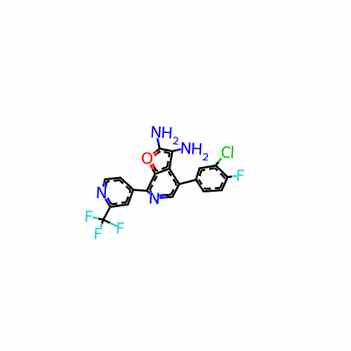 Nc1oc2c(-c3ccnc(C(F)(F)F)c3)ncc(-c3ccc(F)c(Cl)c3)c2c1N